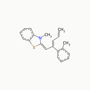 C=C/C=C(/C=C1/Sc2ccccc2N1C)c1ccccc1C